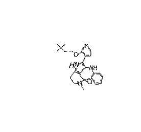 CN1CCc2[nH]c(-c3ccncc3OCCC(C)(C)C)c(Nc3ccccc3)c2C1=O